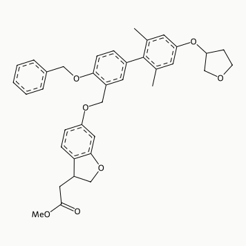 COC(=O)CC1COc2cc(OCc3cc(-c4c(C)cc(OC5CCOC5)cc4C)ccc3OCc3ccccc3)ccc21